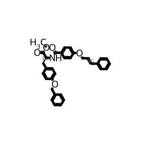 COC(=O)[C@H](Cc1ccc(OCc2ccccc2)cc1)NC(=O)c1ccc(OC/C=C/c2ccccc2)cc1